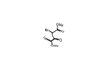 COC(=O)C(=O)C(Br)C(=O)OC